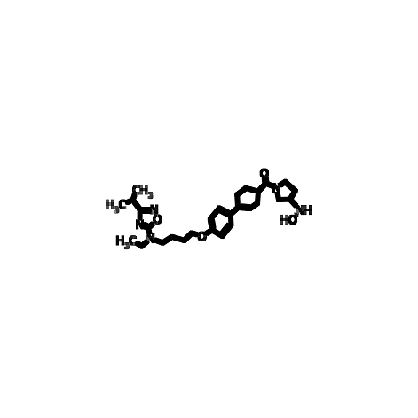 CCN(CCCCOc1ccc(C2=CCC(C(=O)N3CCC(NO)C3)CC2)cc1)c1nc(C(C)C)no1